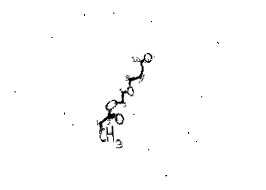 CCC(=O)OCCOCCC[O]